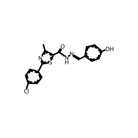 Cc1nc(-c2ccc(Cl)cc2)sc1C(=O)N/N=C/c1ccc(O)cc1